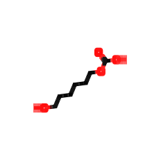 O=C(O)OCCCCCCO